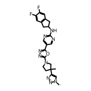 [CH2]n1cc(C2(C)CCN(c3nnc(-c4cnc(NC5Cc6cc(F)c(F)cc6C5)nc4)o3)C2)nn1